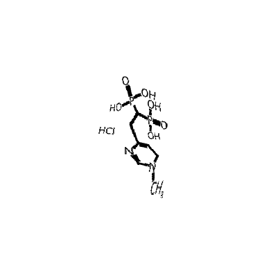 CN1C=NC(CC(P(=O)(O)O)P(=O)(O)O)=CC1.Cl